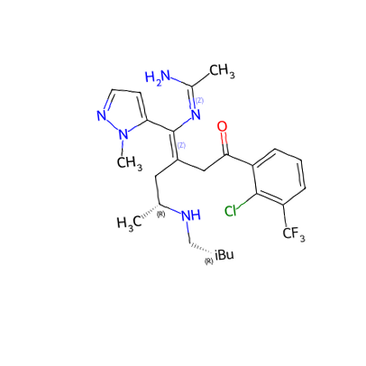 CC[C@@H](C)CN[C@H](C)C/C(CC(=O)c1cccc(C(F)(F)F)c1Cl)=C(/N=C(/C)N)c1ccnn1C